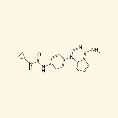 NC1=C2C=CSC2N(c2ccc(NC(=O)NC3CC3)cc2)C=N1